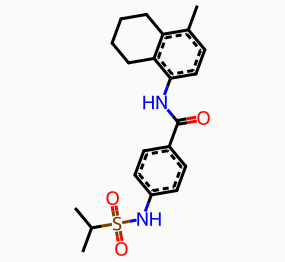 Cc1ccc(NC(=O)c2ccc(NS(=O)(=O)C(C)C)cc2)c2c1CCCC2